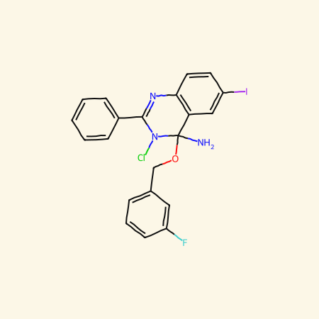 NC1(OCc2cccc(F)c2)c2cc(I)ccc2N=C(c2ccccc2)N1Cl